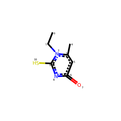 CCn1c(C)cc(=O)nc1S